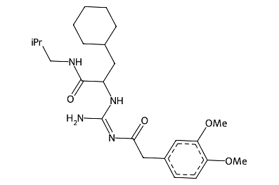 COc1ccc(CC(=O)N=C(N)NC(CC2CCCCC2)C(=O)NCC(C)C)cc1OC